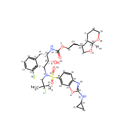 CC(C)(F)CN(C[C@@H](O)[C@H](Cc1cccc(F)c1)NC(=O)OCC[C@@H]1CO[C@@H]2OCCCC12)S(=O)(=O)c1ccc2nc(NC3CC3)oc2c1